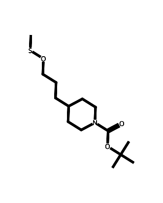 CSOCCCC1CCN(C(=O)OC(C)(C)C)CC1